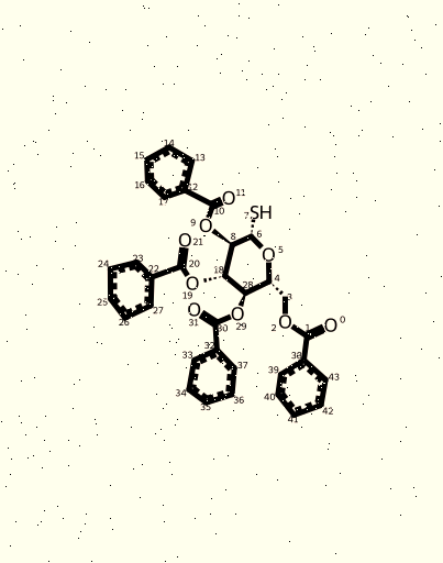 O=C(OC[C@H]1O[C@@H](S)[C@H](OC(=O)c2ccccc2)[C@@H](OC(=O)c2ccccc2)[C@@H]1OC(=O)c1ccccc1)c1ccccc1